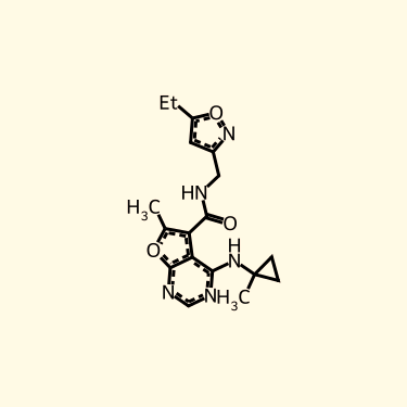 CCc1cc(CNC(=O)c2c(C)oc3ncnc(NC4(C)CC4)c23)no1